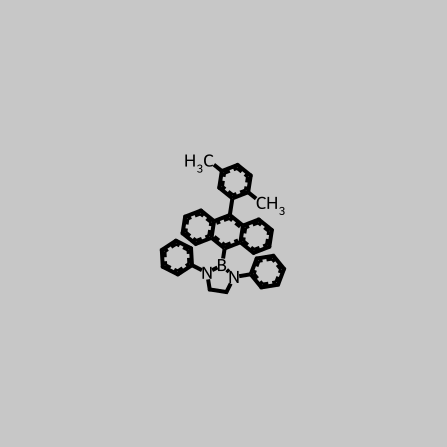 Cc1ccc(C)c(-c2c3ccccc3c(B3N(c4ccccc4)CCN3c3ccccc3)c3ccccc23)c1